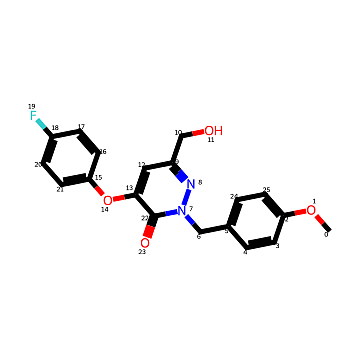 COc1ccc(Cn2nc(CO)cc(Oc3ccc(F)cc3)c2=O)cc1